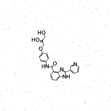 O=C(Nc1ccc(OC[C@H](O)CO)cc1)c1cccc2[nH]c(-c3cccnc3)nc12